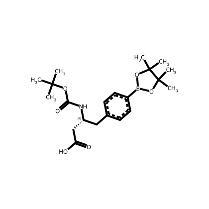 CC(C)(C)OC(=O)N[C@@H](CC(=O)O)Cc1ccc(B2OC(C)(C)C(C)(C)O2)cc1